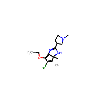 CC[C@H](C)C1=C(Br)C(OCC(F)(F)F)=C2N=C(C3CCN(C)C3)NC21C